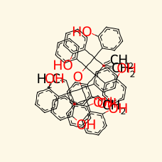 C=CC(c1ccccc1O)(c1ccccc1O)C(OC(c1ccccc1)(C(C=C)(c1ccccc1O)c1ccccc1O)C(C=C)(c1ccccc1O)c1ccccc1O)(c1ccccc1)C(C=C)(c1ccccc1O)c1ccccc1O